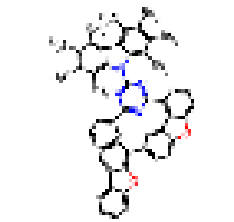 Bc1c(B)c(B)c2c(c1B)c1c(B)c(B)c(B)c(B)c1n2-c1nc(-c2ccccc2)nc(-c2cccc3oc4ccc(-c5cccc6c5oc5ccccc56)cc4c23)n1